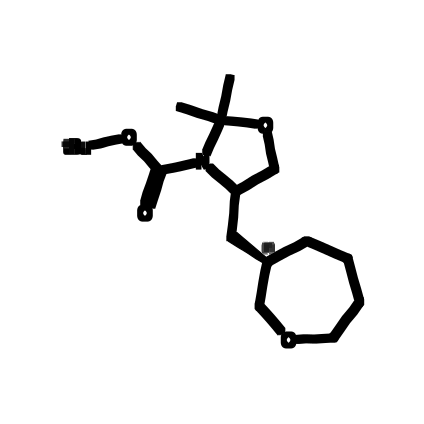 CC(C)(C)OC(=O)N1C(C[C@H]2CCCCOC2)COC1(C)C